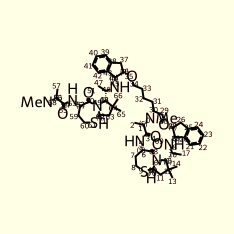 CN[C@@H](C)C(=O)N[C@H]1CCS[C@H]2CC(C)(C)[C@@H](C(C)N[C@H]3c4ccccc4C[C@H]3OCCCCCCO[C@@H]3Cc4ccccc4[C@@H]3NC(C)[C@H]3N4C(=O)[C@@H](NC(=O)[C@H](C)NC)CCS[C@H]4CC3(C)C)N2C1=O